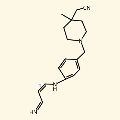 CC1(CC#N)CCN(Cc2ccc(N/C=C\C=N)cc2)CC1